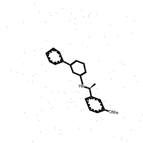 COc1cccc([C@H](C)NC2CCCC(c3ccccc3)C2)c1